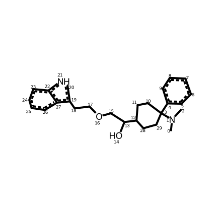 CN(C)C1(c2ccccc2)CCC(C(O)COCCc2c[nH]c3ccccc23)CC1